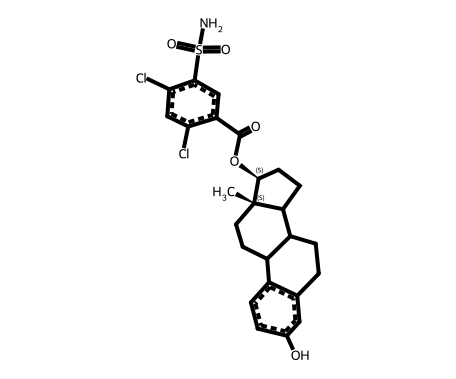 C[C@]12CCC3c4ccc(O)cc4CCC3C1CC[C@@H]2OC(=O)c1cc(S(N)(=O)=O)c(Cl)cc1Cl